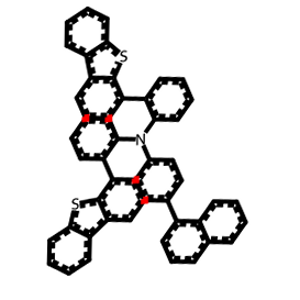 c1ccc(N(c2ccc(-c3cccc4ccccc34)cc2)c2ccccc2-c2cccc3c2sc2ccccc23)c(-c2cccc3c2sc2ccccc23)c1